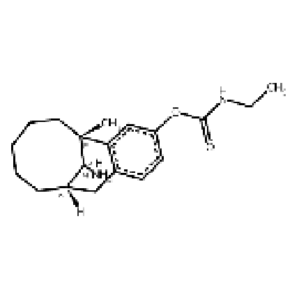 CCNC(=O)Oc1ccc2c(c1)[C@@]1(C)CCCCC[C@@H](C2)[C@@H]1N